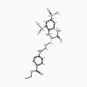 CCOC(=O)c1ccc(NCSC[C@H](Nc2ccc([N+](=O)[O-])cc2[N+](=O)[O-])C(=O)O)cc1